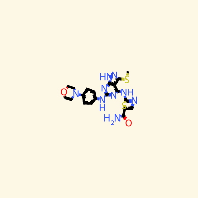 CSc1n[nH]c2nc(Nc3ccc(N4CCOCC4)cc3)nc(Nc3ncc(C(N)=O)s3)c12